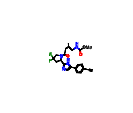 C#Cc1ccc(-c2cnc(C3CC(F)(F)CN3C(=O)CC(C)CNC(=O)OC)[nH]2)cc1